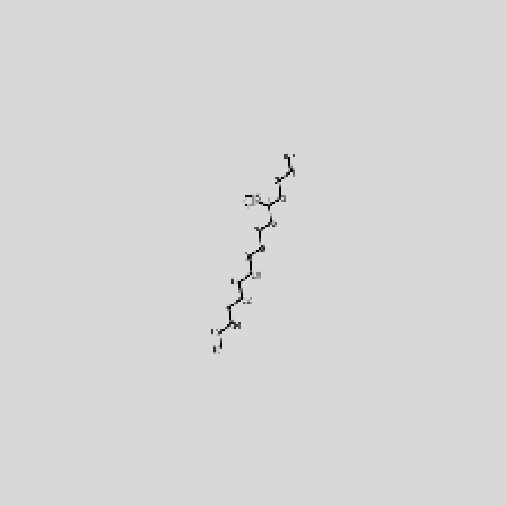 [CH2]CCCC(Cl)CCCCCCCCCCC